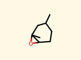 CC1CCC2OC2(C)C1